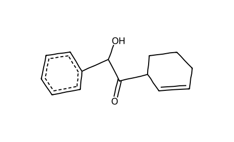 O=C(C1C=CCCC1)C(O)c1ccccc1